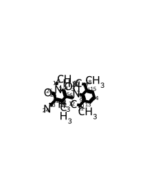 CCn1c(O)c(/C=N/c2c(C(C)C)cccc2C(C)C)c(C)c(C#N)c1=O